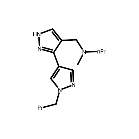 CCCN(C)Cc1c[nH]nc1-c1cnn(CC(C)C)c1